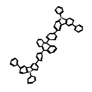 c1ccc(-c2ccc3c(c2)c2cc(-c4ccc(-c5c6ccccc6c(-c6ccc(-c7ccc8c(c7)c7cc(-c9ccccc9)ccc7n8-c7ccccc7)cc6)c6ccccc56)cc4)ccc2n3-c2ccccc2)cc1